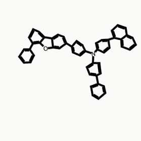 c1ccc(-c2ccc(N(c3ccc(-c4ccc5c(c4)oc4c(-c6ccccc6)cccc45)cc3)c3ccc(-c4cccc5ccccc45)cc3)cc2)cc1